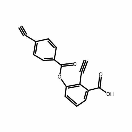 C#Cc1ccc(C(=O)Oc2cccc(C(=O)O)c2C#C)cc1